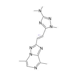 Cc1ncc(C)n2nc(/C=C/c3nc(N(C)C)nn3C)nc12